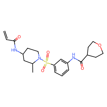 C=CC(=O)NC1CCN(S(=O)(=O)c2cccc(NC(=O)C3CCOCC3)c2)C(C)C1